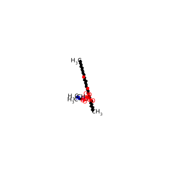 CCCCCCCCCCCCCCCCCCCCC(=O)OC(COC(=O)CCCCCC)COP(=O)(O)OCC[N+](C)(C)C